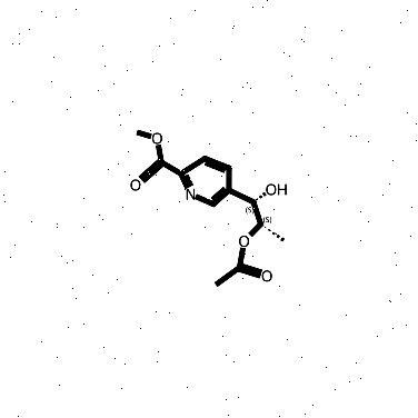 COC(=O)c1ccc([C@H](O)[C@H](C)OC(C)=O)cn1